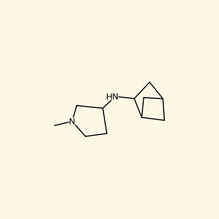 CN1CCC(NC2CC3CC2C3)C1